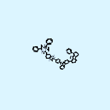 c1ccc(-c2nc(-c3ccccc3)nc(-c3ccc4nc(-c5ccc(-n6c7ccccc7c7cc(-c8cccc9c8oc8c(-c%10ccccc%10)cccc89)ccc76)cc5)sc4c3)n2)cc1